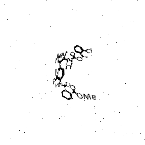 COC(=O)[C@H]1CCCC[C@@H]1C(=O)Nc1ccc(-c2nnn(C)c2NC(=O)O[C@H](C)c2ccccc2Cl)nc1F